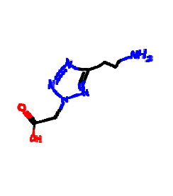 NCCc1nnn(CC(=O)O)n1